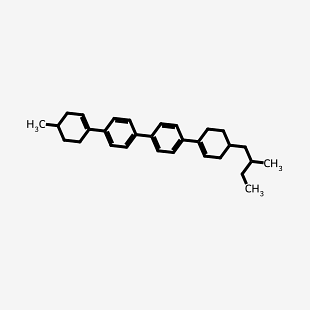 CCC(C)CC1CC=C(c2ccc(-c3ccc(C4=CCC(C)CC4)cc3)cc2)CC1